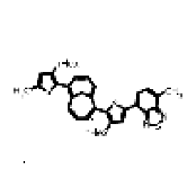 CCCCCCc1cc(-c2ccc(C)c3nsnc23)sc1C1=CC=CC2=C(c3sc(C)cc3CCCCCC)C=CC=C1C2